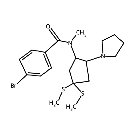 CSC1(SC)CC(N2CCCC2)C(N(C)C(=O)c2ccc(Br)cc2)C1